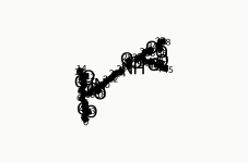 C=CC(=O)OCCC(CCOC(=O)C=C)COC(=O)NCCCCCCNC(=O)OCC(CCOC(=O)C=C)CCOC(=O)C=C